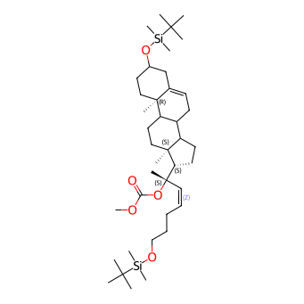 COC(=O)O[C@@](C)(/C=C\CCCO[Si](C)(C)C(C)(C)C)[C@H]1CCC2C3CC=C4CC(O[Si](C)(C)C(C)(C)C)CC[C@]4(C)C3CC[C@@]21C